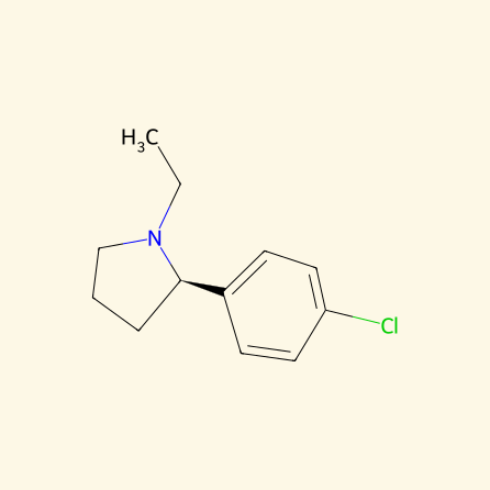 CCN1CCC[C@@H]1c1ccc(Cl)cc1